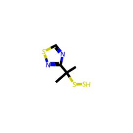 CC(C)(SS)c1ncsn1